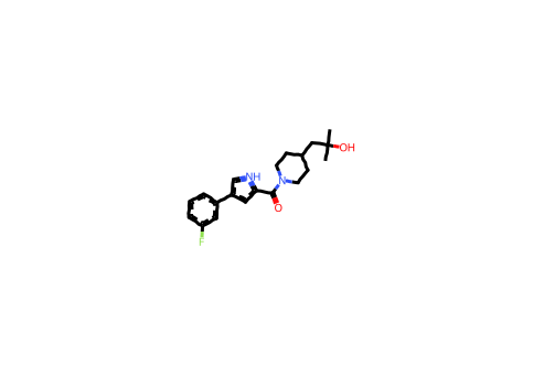 CC(C)(O)CC1CCN(C(=O)c2cc(-c3cccc(F)c3)c[nH]2)CC1